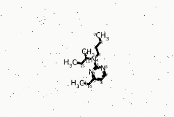 CCCCN(c1nccc(CC)n1)C(C)CC